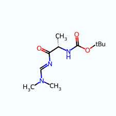 C[C@H](NC(=O)OC(C)(C)C)C(=O)/N=C/N(C)C